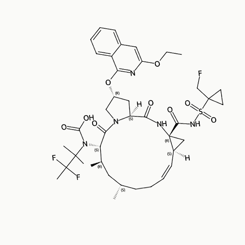 CCOc1cc2ccccc2c(O[C@@H]2C[C@H]3C(=O)N[C@]4(C(=O)NS(=O)(=O)C5(CF)CC5)C[C@H]4C=CCC[C@H](C)C[C@@H](C)[C@H](N(C(=O)O)C(C)(C)C(C)(F)F)C(=O)N3C2)n1